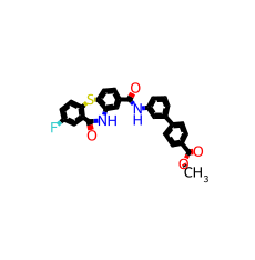 COC(=O)c1ccc(-c2cccc(NC(=O)c3ccc4c(c3)NC(=O)c3cc(F)ccc3S4)c2)cc1